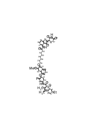 CCc1ccc2c(c1)c(=O)c(C(=O)Nc1ccc(Oc3ncnc4cc(OCCCCCCCC(=O)Nc5cccc6c5C(=O)N(C5CCC(=O)NC5=O)C6)c(OC)cc34)c(F)c1)c(C)n2C